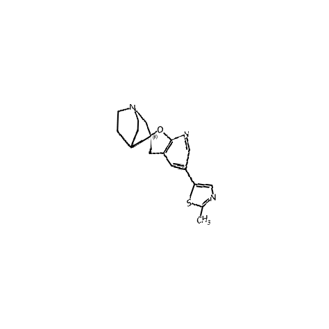 Cc1ncc(-c2cnc3c(c2)C[C@@]2(CN4CCC2CC4)O3)s1